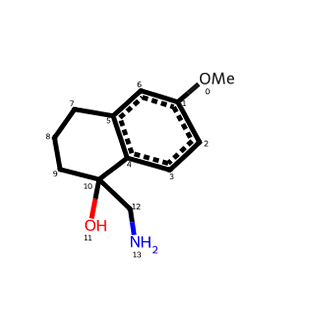 COc1ccc2c(c1)CCCC2(O)CN